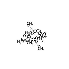 COCCCOc1cc2c(cc1OC)-c1cc(=O)c(C(=O)O)cn1C(C(C)(C)COC)C2.COCCCOc1cc2c(cc1OC)-c1cc(=O)c(C(=O)O)cn1CC2